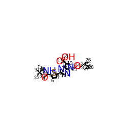 C[C@@H](NC(=O)c1ccc(-c2cnc3c(n2)c(C(=O)O)cn3COCC[Si](C)(C)C)s1)C(C)(C)C